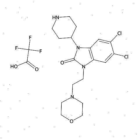 O=C(O)C(F)(F)F.O=c1n(CCN2CCOCC2)c2cc(Cl)c(Cl)cc2n1C1CCNCC1